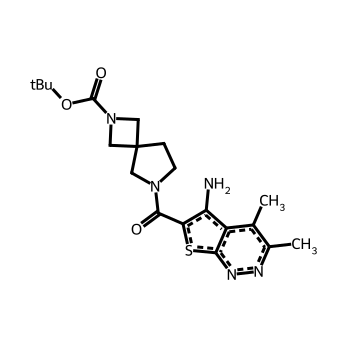 Cc1nnc2sc(C(=O)N3CCC4(CN(C(=O)OC(C)(C)C)C4)C3)c(N)c2c1C